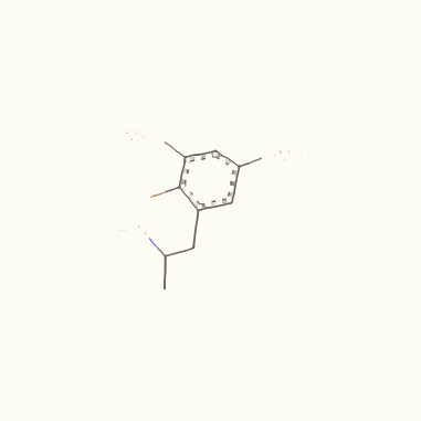 COc1cc(CC(C)N)c(Br)c(OC)c1